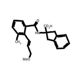 COC/C=C/c1c(C)cccc1C(=O)NC1(C(=O)O)Cc2ccccc2C1